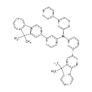 CC1(C)c2ccccc2-c2ccc(-c3cccc(N(c4cccc(-c5ccccc5)c4)c4cccc(-c5ccc6c(c5)C(C)(C)c5ccccc5-6)c4)c3)cc21